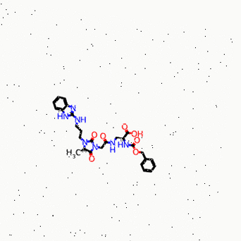 C[C@@H]1C(=O)N(CC(=O)NC[C@H](NC(=O)OCc2ccccc2)C(=O)O)C(=O)N1CCCNc1nc2ccccc2[nH]1